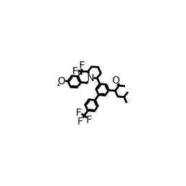 COc1ccc(CN2C(c3cc(-c4ccc(C(F)(F)F)cc4)cc(C(CC(C)C)C(C)=O)c3)CCCC2C(F)(F)F)cc1